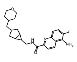 Nc1c(F)ccc2nc(C(=O)NCC3C4CN(CC5CCOCC5)CC34)ccc12